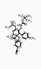 Cc1ccc(C2=C(CNC(=O)OC(C)(C)C)C(CC(C)C)=NC(C)C2(Cc2ccc(C#N)cc2)C(=O)O)cc1